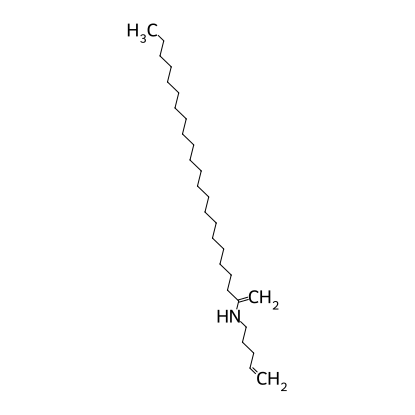 C=CCCCNC(=C)CCCCCCCCCCCCCCCCCCCCC